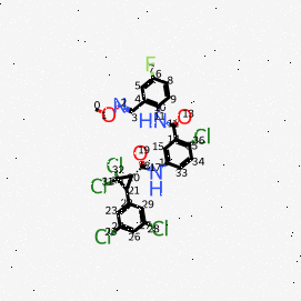 CO/N=C/c1cc(F)ccc1NC(=O)c1cc(NC(=O)[C@@H]2C(c3cc(Cl)cc(Cl)c3)C2(Cl)Cl)ccc1Cl